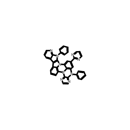 c1ccc(N2c3cc(-c4ncccn4)cc4c3B(c3nccnc32)c2cccc3c5c6cccnc6n(-c6ccccc6)c5n-4c23)cc1